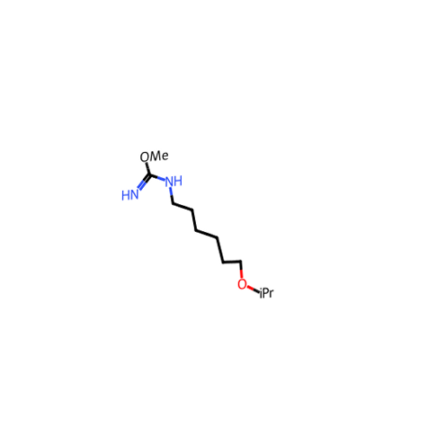 COC(=N)NCCCCCCOC(C)C